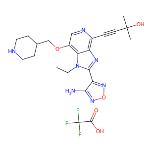 CCn1c(-c2nonc2N)nc2c(C#CC(C)(C)O)ncc(OCC3CCNCC3)c21.O=C(O)C(F)(F)F